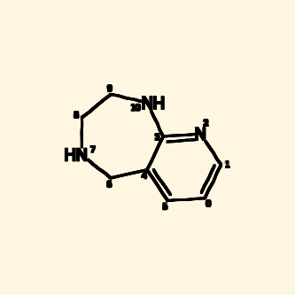 c1cnc2c(c1)CNCCN2